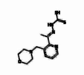 C/C(=N\NC(=S)S)c1ncccc1CN1CCOCC1